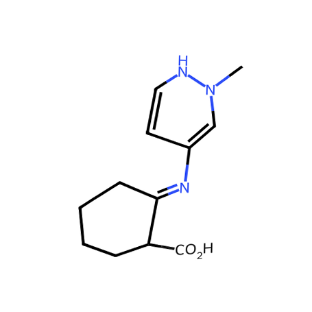 CN1C=C(N=C2CCCCC2C(=O)O)C=CN1